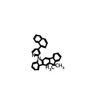 CC1(C)c2ccccc2-c2cc3c(cc21)c1ccccc1n3-c1cc(-c2cccc3ccccc23)ccn1